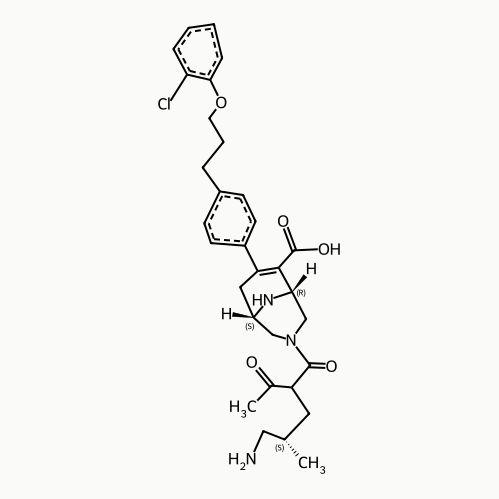 CC(=O)C(C[C@H](C)CN)C(=O)N1C[C@@H]2CC(c3ccc(CCCOc4ccccc4Cl)cc3)=C(C(=O)O)[C@H](C1)N2